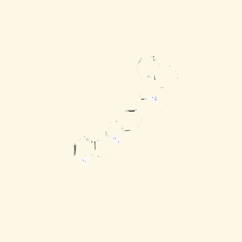 Cc1ncccc1-c1nc2ccc(C(=O)N(C)[C@H]3CCOc4ccccc43)cc2s1